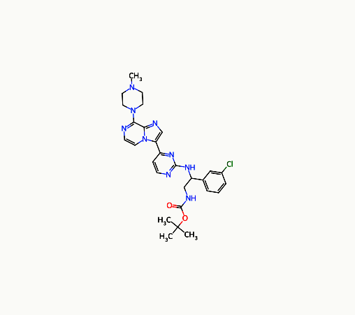 CN1CCN(c2nccn3c(-c4ccnc(NC(CNC(=O)OC(C)(C)C)c5cccc(Cl)c5)n4)cnc23)CC1